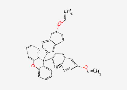 C=COc1ccc2cc(C3(c4ccc5cc(OC=C)ccc5c4)c4ccccc4Oc4ccccc43)ccc2c1